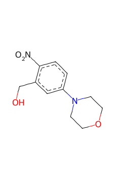 O=[N+]([O-])c1ccc(N2CCOCC2)cc1CO